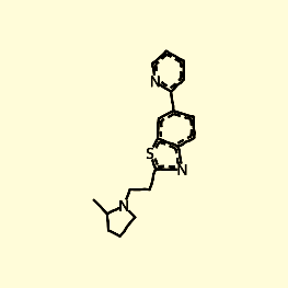 CC1CCCN1CCc1nc2ccc(-c3ccccn3)cc2s1